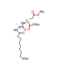 CCCCCCCCCCCCCCCCCC(=O)N[C@H](C)C(=O)N[C@H](CCC(=O)OC(C)(C)C)C(=O)OC